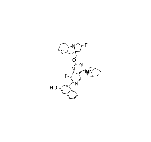 Oc1cc(-c2ncc3c(N4CC5CCC(C4)N5)nc(OCC45CC(F)CN4C4CCCCC4C5)nc3c2F)c2ccccc2c1